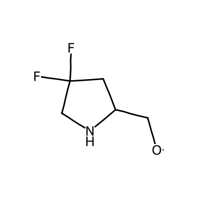 [O]CC1CC(F)(F)CN1